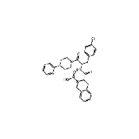 O=C(N[C@H](Cc1ccc(Cl)cc1)C(=O)N1CCN(c2ccccn2)CC1)[C@@H]1Cc2ccccc2CN1C(=O)O